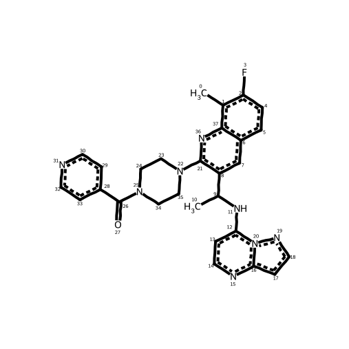 Cc1c(F)ccc2cc(C(C)Nc3ccnc4ccnn34)c(N3CCN(C(=O)c4ccncc4)CC3)nc12